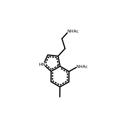 CC(=O)NCCc1c[nH]c2cc(C)cc(NC(C)=O)c12